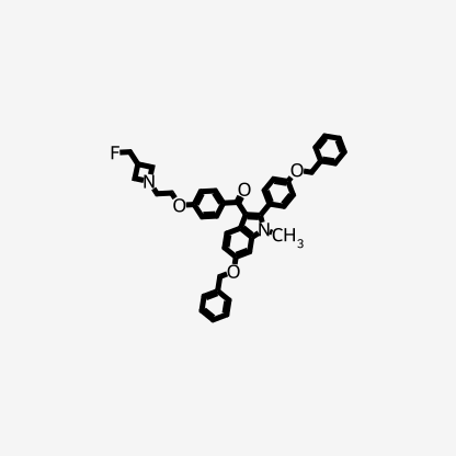 Cn1c(-c2ccc(OCc3ccccc3)cc2)c(C(=O)c2ccc(OCCN3CC(CF)C3)cc2)c2ccc(OCc3ccccc3)cc21